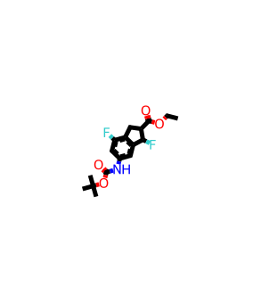 CCOC(=O)C1Cc2c(F)cc(NC(=O)OC(C)(C)C)cc2C1F